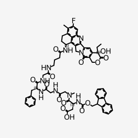 CC[C@@]1(O)C(=O)OCc2c1cc1n(c2=O)Cc2c-1nc1cc(F)c(C)c3c1c2[C@@H](NC(=O)CCCNC(=O)CNC(=O)[C@H](Cc1ccccc1)NC(=O)CNC(=O)CN(C)C(=O)[C@H](CC(=O)O)NC(=O)OCC1c2ccccc2-c2ccccc21)CC3